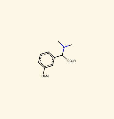 COc1cccc(C(C(=O)O)N(C)C)c1